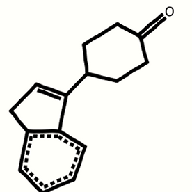 O=C1CCC(C2=CCc3ccccc32)CC1